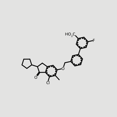 Cc1c(OCc2cccc(-c3cc(F)cc(C(=O)O)c3)c2)cc2c(c1Cl)C(=O)C(C1CCCC1)C2